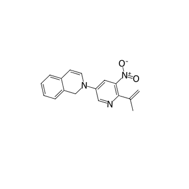 C=C(C)c1ncc(N2C=Cc3ccccc3C2)cc1[N+](=O)[O-]